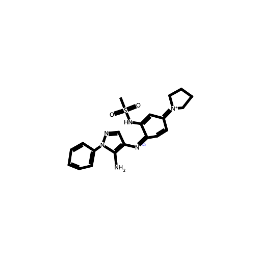 CS(=O)(=O)NC1=CC(=[N+]2CCCC2)C=C/C1=N/c1cnn(-c2ccccc2)c1N